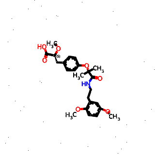 COc1ccc(OC)c(CCNC(=O)C(C)(C)Oc2ccc(C[C@H](OC)C(=O)O)cc2)c1